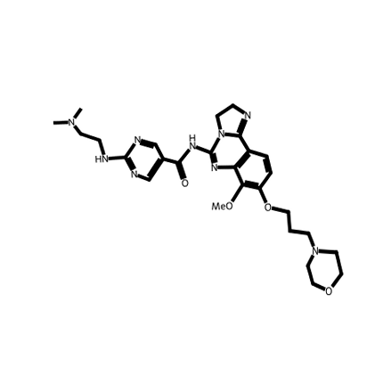 COc1c(OCCCN2CCOCC2)ccc2c1N=C(NC(=O)c1cnc(NCCN(C)C)nc1)N1CCN=C21